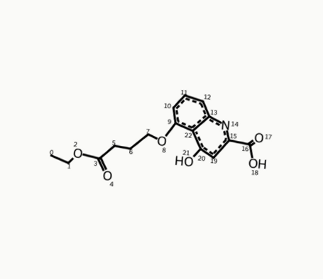 CCOC(=O)CCCOc1cccc2nc(C(=O)O)cc(O)c12